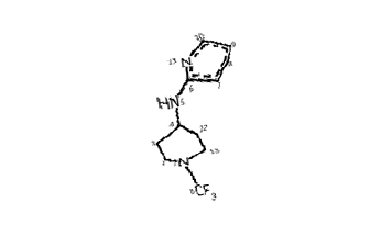 FC(F)(F)N1CCC(Nc2ccccn2)CC1